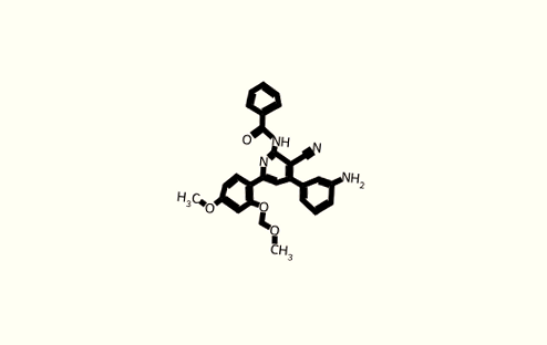 COCOc1cc(OC)ccc1-c1cc(-c2cccc(N)c2)c(C#N)c(NC(=O)c2ccccc2)n1